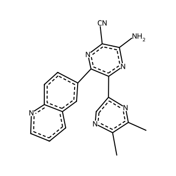 Cc1ncc(-c2nc(N)c(C#N)nc2-c2ccc3ncccc3c2)nc1C